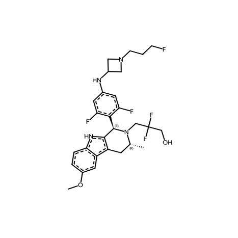 COc1ccc2[nH]c3c(c2c1)C[C@@H](C)N(CC(F)(F)CO)[C@@H]3c1c(F)cc(NC2CN(CCCF)C2)cc1F